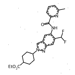 CCOC(=O)C1CCC(n2cc3cc(NC(=O)c4cccc(C)n4)c(C(F)F)cc3n2)CC1